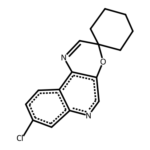 Clc1ccc2c3c(cnc2c1)OC1(C=N3)CCCCC1